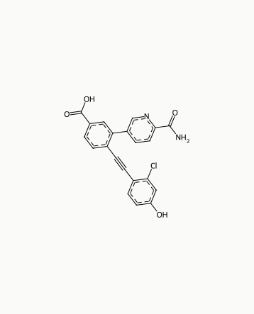 NC(=O)c1ccc(-c2cc(C(=O)O)ccc2C#Cc2ccc(O)cc2Cl)cn1